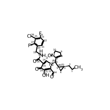 CCC[C@H]1C[C@H]1[C@H](C1=CCCN1C)n1cc(C(=O)NCc2ccc(F)c(Cl)c2F)c(=O)c(O)c1C=O